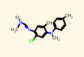 CCN(C)C=Nc1cc(C)c(N(C)c2ccc(C)cc2)cc1Cl